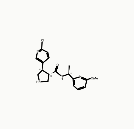 COc1cccc([C@H](C)NC(=O)[C@@H]2CNC[C@H]2c2ccc(Cl)nc2)n1